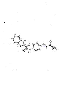 NC(=O)/C=C/c1ccc(NS(=O)(=O)c2cc3ccccc3s2)cc1